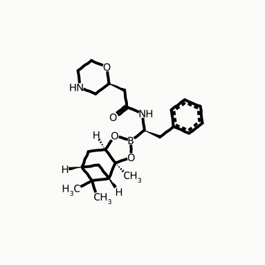 CC1(C)[C@@H]2C[C@H]3OB([C@H](Cc4ccccc4)NC(=O)C[C@H]4CNCCO4)O[C@@]3(C)[C@H]1C2